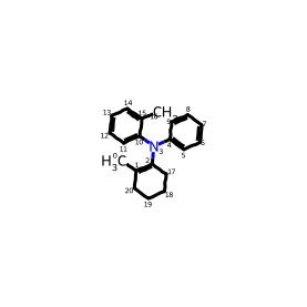 CC1=C(N(c2ccccc2)c2ccccc2C)CCCC1